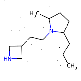 CCCC1CCC(C)N1CCC1CNC1